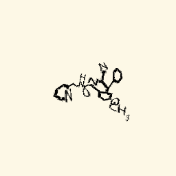 COc1ccc2c(C(=O)NCCc3ccccn3)nc(C#N)c(-c3ccccc3)c2c1